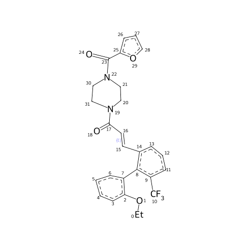 CCOc1ccccc1-c1c(C(F)(F)F)[c]ccc1/C=C/C(=O)N1CCN(C(=O)c2ccco2)CC1